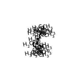 C=C(CCC[Si](O[Si](C)(C)C)(O[Si](C)(C)C)O[Si](C)(C)C)OC(=O)OC(=C)CCC[Si](O[Si](C)(C)C)(O[Si](C)(C)C)O[Si](C)(C)C